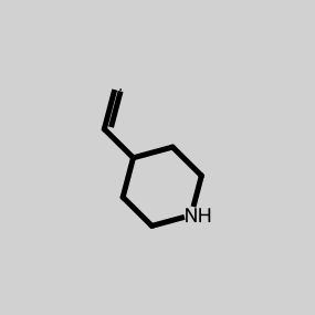 [CH]=CC1CCNCC1